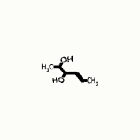 C/C=C/C(O)C(C)O